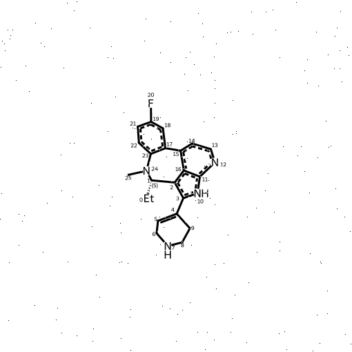 CC[C@H]1c2c(C3=CCNCC3)[nH]c3nccc(c23)-c2cc(F)ccc2N1C